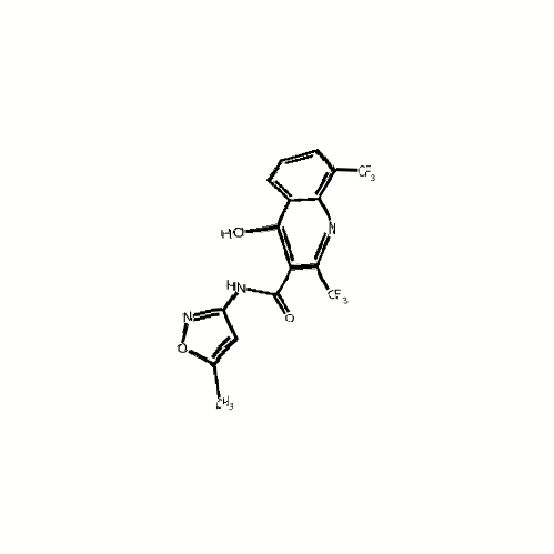 Cc1cc(NC(=O)c2c(C(F)(F)F)nc3c(C(F)(F)F)cccc3c2O)no1